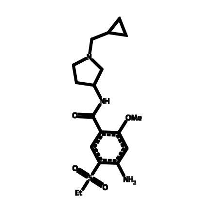 CCS(=O)(=O)c1cc(C(=O)NC2CCN(CC3CC3)C2)c(OC)cc1N